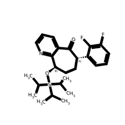 CC(C)[Si](O[C@@H]1CC[C@@H](c2cccc(F)c2F)C(=O)c2cccnc21)(C(C)C)C(C)C